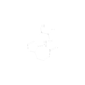 O=C(O)C(=O)O.O=C1C=CCC2SC=CC2N1